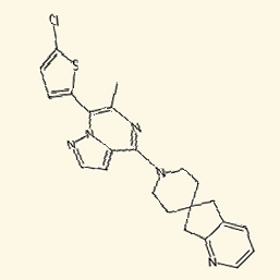 Cc1nc(N2CCC3(CC2)Cc2cccnc2C3)c2ccnn2c1-c1ccc(Cl)s1